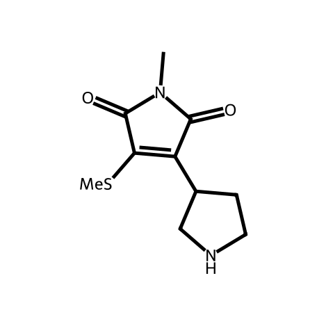 CSC1=C(C2CCNC2)C(=O)N(C)C1=O